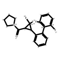 O=C(C1C(c2ccccc2-c2c(F)cccc2F)C1(F)F)N1CCCC1